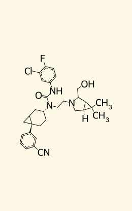 CC1(C)C2C(CO)N(CCN(C(=O)Nc3ccc(F)c(Cl)c3)[C@@H]3CC[C@]4(c5cccc(C#N)c5)CC4C3)C[C@@H]21